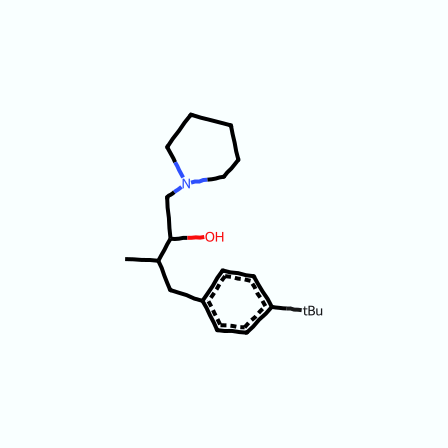 CC(Cc1ccc(C(C)(C)C)cc1)C(O)CN1CCCCC1